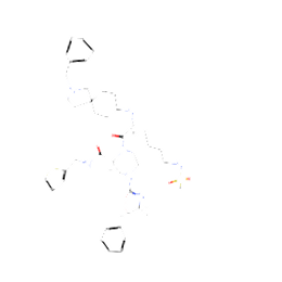 C[C@@H]1N=C(N2CCN(C(=O)[C@@H](CCCCNS(C)(=O)=O)NC3CCC4(CC3)CCN(Cc3ccccc3)C4)[C@H](C(=O)NCc3cccs3)C2)O[C@H]1c1ccccc1